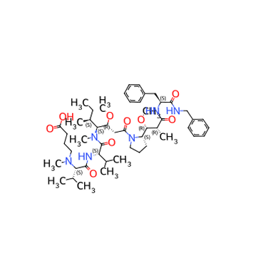 CC[C@H](C)[C@@H]([C@@H](CC(=O)N1CCC[C@H]1[C@H](OC)[C@@H](C)C(=O)N[C@@H](Cc1ccccc1)C(=O)NCc1ccccc1)OC)N(C)C(=O)[C@@H](NC(=O)[C@H](C(C)C)N(C)CCCC(=O)O)C(C)C